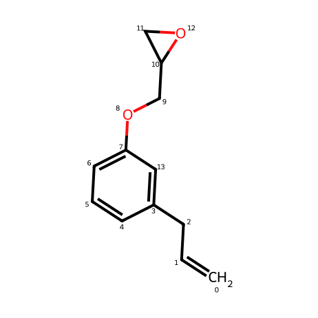 C=CCc1cccc(OCC2CO2)c1